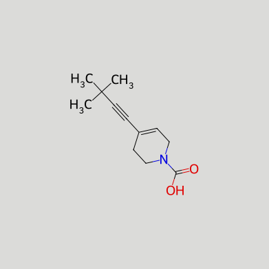 CC(C)(C)C#CC1=CCN(C(=O)O)CC1